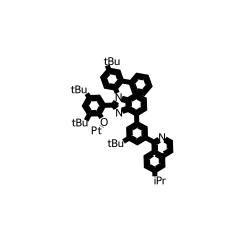 CC(C)c1ccc2c(-c3cc(-c4cccc5c4nc(-c4cc(C(C)(C)C)cc(C(C)(C)C)c4[O][Pt])n5-c4ccc(C(C)(C)C)cc4-c4ccccc4)cc(C(C)(C)C)c3)nccc2c1